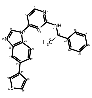 C[C@H](Nc1nccc(-n2cnc3cc(-c4ccsc4)ccc32)n1)c1ccccc1